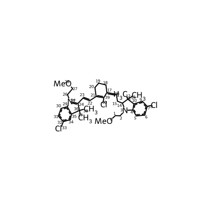 COCCN1c2ccc(Cl)cc2C(C)(C)C1CC=C1CCCC(C=CC2=[N+](CCOC)c3ccc(Cl)cc3C2(C)C)=C1Cl